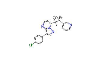 CCOC(=O)C(C)(Cc1cccnc1)c1ccnc2c(-c3ccc(Cl)cc3)cnn12